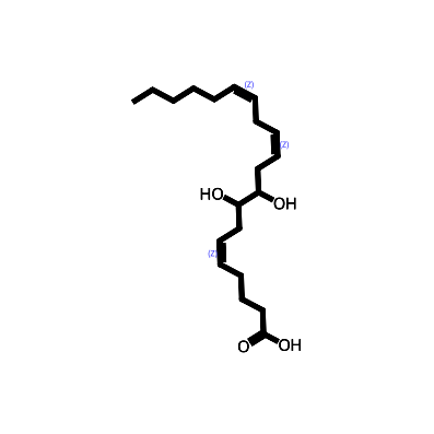 CCCCC/C=C\C/C=C\CC(O)C(O)C/C=C\CCCC(=O)O